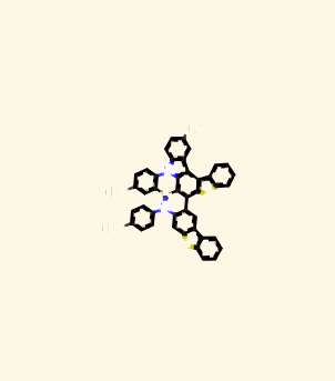 CC(C)(C)c1ccc(N2B3c4cc(C(C)(C)C)ccc4-n4c5ccc(C(C)(C)C)cc5c5c6c(sc7ccccc76)c(c3c54)-c3cc4c(cc32)sc2ccccc24)cc1